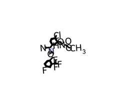 COC(=O)NOc1cc(/C(C#N)=N/OCc2ccc(F)cc2C(F)(F)F)ccc1Cl